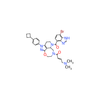 CN(C)CC=CC(=O)N1CCOc2nn(-c3ccc(C4CCC4)cc3)c3c2C(C1)N(C(=O)c1ccc(Br)c2[nH]cnc12)CC3